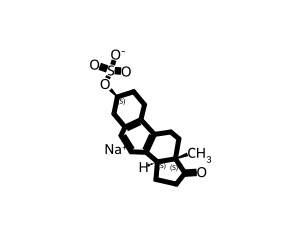 C[C@]12CCc3c(ccc4c3CC[C@H](OS(=O)(=O)[O-])C4)[C@@H]1CCC2=O.[Na+]